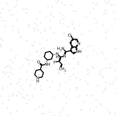 C=C/C(F)=C(\N=C(/N)c1c[nH]c2ncc(Cl)cc12)N[C@H]1CCC[C@@H](NC(=O)C2CCNCC2)C1